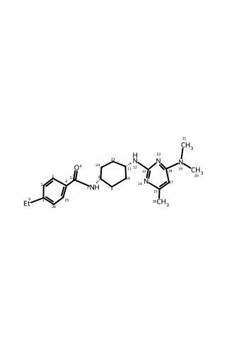 CCc1ccc(C(=O)N[C@H]2CC[C@@H](Nc3nc(C)cc(N(C)C)n3)CC2)cc1